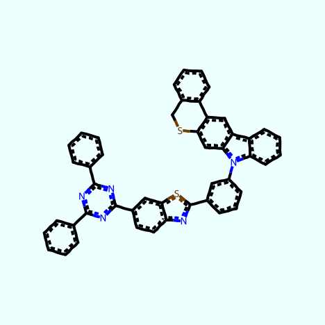 c1ccc(-c2nc(-c3ccccc3)nc(-c3ccc4nc(-c5cccc(-n6c7ccccc7c7cc8c(cc76)SCc6ccccc6-8)c5)sc4c3)n2)cc1